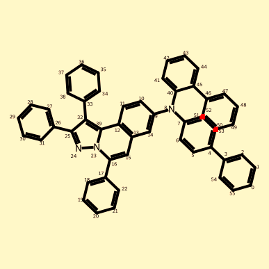 c1ccc(-c2ccc(N(c3ccc4c(c3)cc(-c3ccccc3)n3nc(-c5ccccc5)c(-c5ccccc5)c43)c3ccccc3-c3ccccc3)cc2)cc1